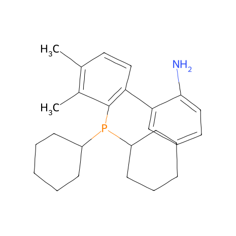 Cc1ccc(-c2ccccc2N)c(P(C2CCCCC2)C2CCCCC2)c1C